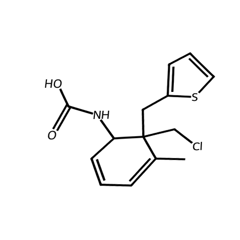 CC1=CC=CC(NC(=O)O)C1(CCl)Cc1cccs1